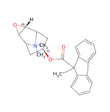 CC1(C(=O)O[C@H]2CC3C4O[C@@H]4C(C2)[N+]3(C)C)c2ccccc2-c2ccccc21